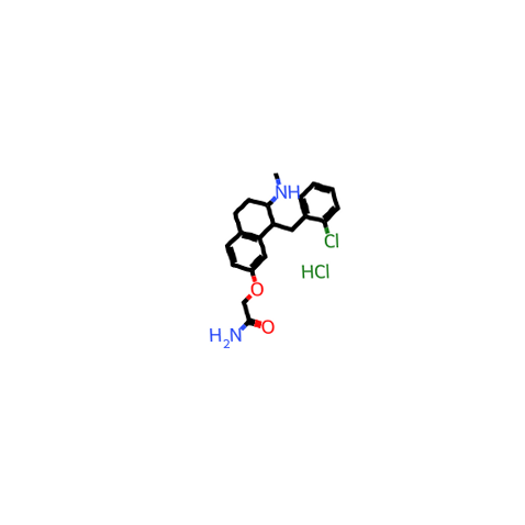 CNC1CCc2ccc(OCC(N)=O)cc2C1Cc1ccccc1Cl.Cl